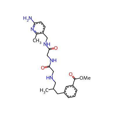 COC(=O)c1cccc(CC(C)CNCC(=O)NCC(=O)NCc2ccc(N)nc2C)c1